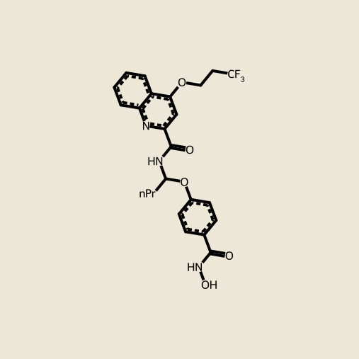 CCCC(NC(=O)c1cc(OCCC(F)(F)F)c2ccccc2n1)Oc1ccc(C(=O)NO)cc1